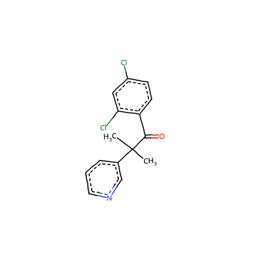 CC(C)(C(=O)c1ccc(Cl)cc1Cl)c1cccnc1